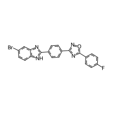 Fc1ccc(-c2nc(-c3ccc(-c4nc5cc(Br)ccc5[nH]4)cc3)no2)cc1